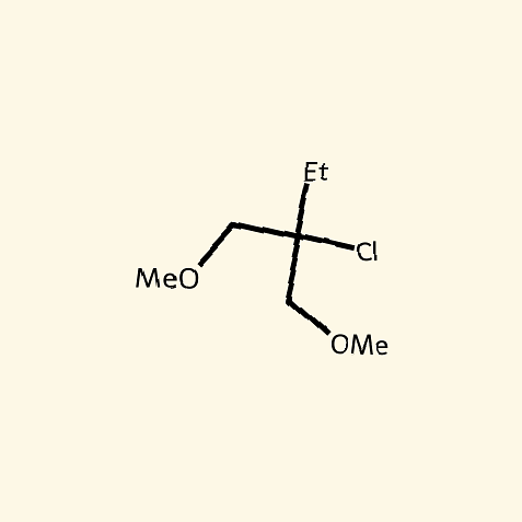 CCC(Cl)(COC)COC